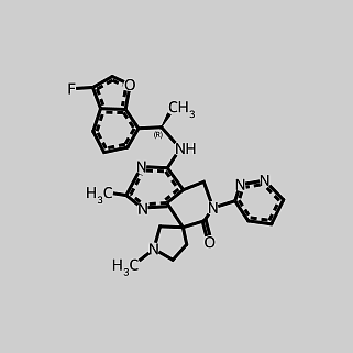 Cc1nc(N[C@H](C)c2cccc3c(F)coc23)c2c(n1)C1(CCN(C)C1)C(=O)N(c1cccnn1)C2